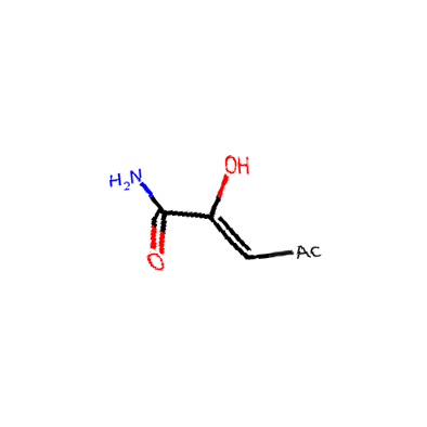 CC(=O)/C=C(\O)C(N)=O